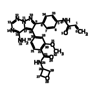 C=CC(=O)Nc1ccc(-c2nn3ncnc(N)c3c2-c2ccc(C(=O)NC3COC3)c(OC)c2)cc1